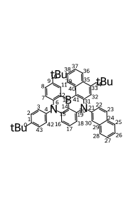 CC(C)(C)c1ccc(N2c3ccc(C(C)(C)C)cc3B3c4c2cccc4N(c2ccc4ccccc4c2)c2cc(C(C)(C)C)c4ccccc4c23)cc1